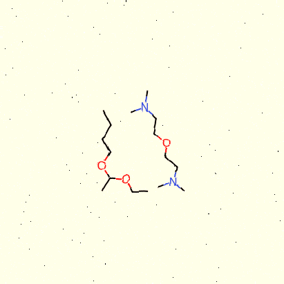 CCCCOC(C)OCC.CN(C)CCOCCN(C)C